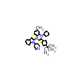 Cc1cc2c3c(c1)N(c1ccccc1)c1c(sc4cc(C(C)(C)C)ccc14)B3c1c(c3ccccc3n1-c1ccncc1)S2